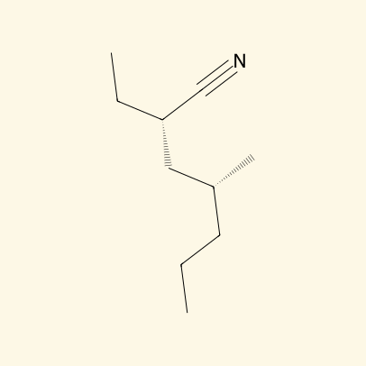 CCC[C@@H](C)C[C@@H](C#N)CC